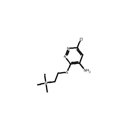 C[Si](C)(C)CCSc1nnc(Cl)cc1N